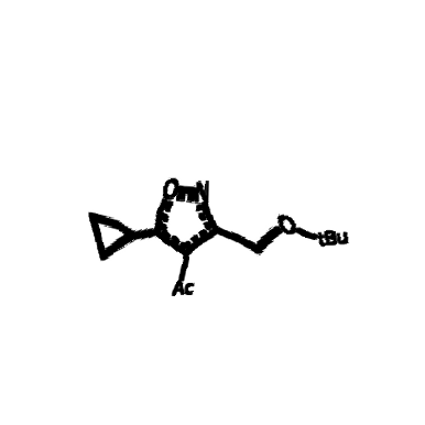 CC(=O)c1c(COC(C)(C)C)noc1C1CC1